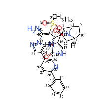 CS(=O)(=O)c1c(C2C[C@H]3CC[C@@H](C2)N3C(=O)c2c[nH]c(=O)[nH]2)nc2c(-c3ccc(-c4ccccc4)nc3)cnn2c1N